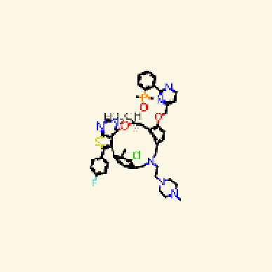 Cc1c2ccc(c1Cl)CN(CCN1CCN(C)CC1)Cc1ccc(OCc3ccnc(-c4ccccc4P(C)(C)=O)n3)c(c1)C[C@H](C(=O)O)Oc1ncnc3sc(-c4ccc(F)cc4)c-2c13